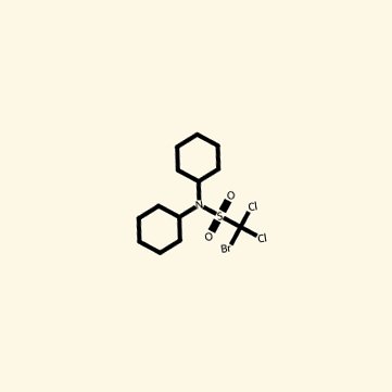 O=S(=O)(N(C1CCCCC1)C1CCCCC1)C(Cl)(Cl)Br